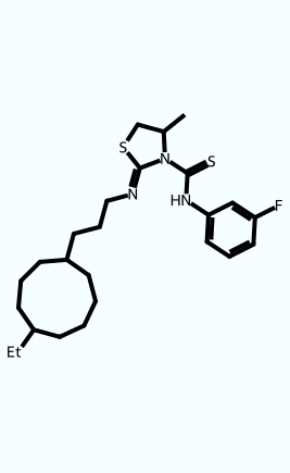 CCC1CCCCC(CCCN=C2SCC(C)N2C(=S)Nc2cccc(F)c2)CCC1